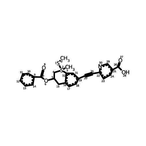 CSS1(C)CC(OC(=O)c2ccccc2)Cc2ccc(C#Cc3ccc(C(=O)O)cn3)cc21